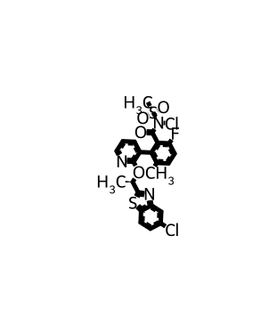 Cc1ccc(F)c(C(=O)N(Cl)S(C)(=O)=O)c1-c1cccnc1O[C@@H](C)c1nc2cc(Cl)ccc2s1